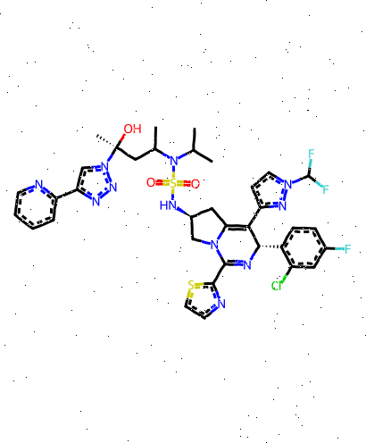 CC(C)N(C(C)C[C@](C)(O)n1cc(-c2ccccn2)nn1)S(=O)(=O)N[C@H]1CC2=C(c3ccn(C(F)F)n3)[C@H](c3ccc(F)cc3Cl)N=C(c3nccs3)N2C1